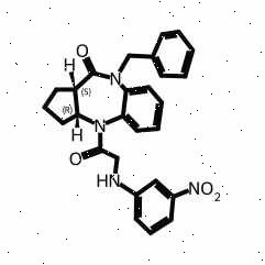 O=C1[C@H]2CCC[C@H]2N(C(=O)CNc2cccc([N+](=O)[O-])c2)c2ccccc2N1Cc1ccccc1